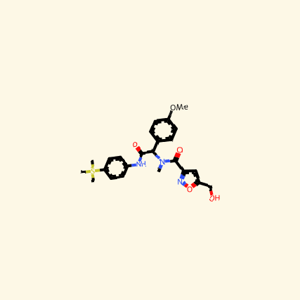 COc1ccc(C(C(=O)Nc2ccc(S(C)(C)C)cc2)N(C)C(=O)c2cc(CO)on2)cc1